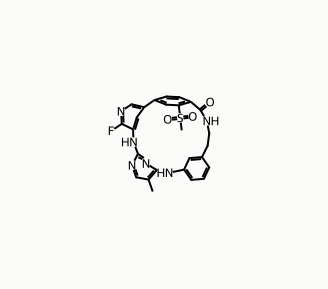 Cc1cnc2nc1Nc1cccc(c1)CCNC(=O)c1ccc(cc1S(C)(=O)=O)-c1cnc(F)c(c1)N2